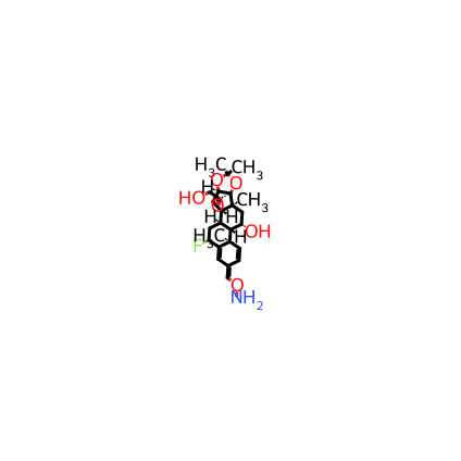 CC1(C)O[C@@H]2C[C@H]3[C@@H]4C[C@H](F)C5=C/C(=C/ON)C=C[C@]5(C)[C@H]4[C@@H](O)C[C@]3(C)[C@]2(C(=O)CO)O1